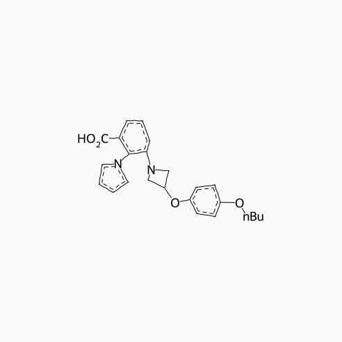 CCCCOc1ccc(OC2CN(c3cccc(C(=O)O)c3-n3cccc3)C2)cc1